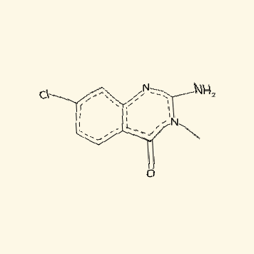 Cn1c(N)nc2cc(Cl)ccc2c1=O